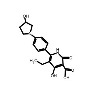 CCc1c(-c2ccc(N3CCC(O)C3)cc2)[nH]c(=O)c(C(=O)O)c1O